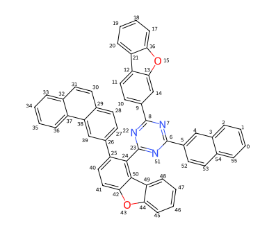 c1ccc2cc(-c3nc(-c4ccc5c(c4)oc4ccccc45)nc(-c4c(-c5ccc6ccc7ccccc7c6c5)ccc5oc6ccccc6c45)n3)ccc2c1